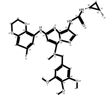 COc1cc(CN(C)c2cc(Nc3cc(F)cc4c3OCCO4)nc3c(NC(=O)N[C@@H]4C[C@@H]4F)cnn23)cc(OC)c1OC